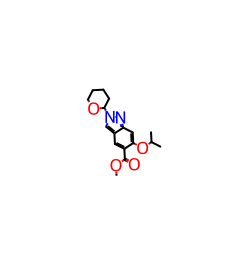 COC(=O)c1cc2cn(C3CCCCO3)nc2cc1OC(C)C